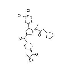 CN(C(=O)CC1CCCC1)C1CN(C(=O)C2CCN(C(=O)C3(C)CC3)CC2)CC1c1ccc(Cl)c(Cl)c1